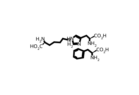 NCCCC[C@H](N)C(=O)O.N[C@@H](Cc1c[nH]cn1)C(=O)O.N[C@@H](Cc1ccccc1)C(=O)O